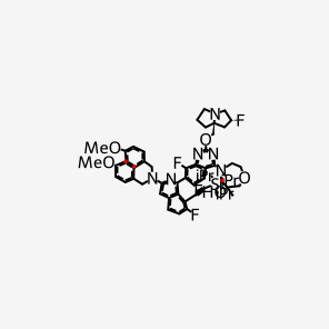 COc1ccc(CN(Cc2ccc(OC)cc2)c2cc3ccc(F)c(C#C[Si](C(C)C)(C(C)C)C(C)C)c3c(-c3c(F)cc4c(N5CCOCC(C)(O)C5)nc(OC[C@@]56CCCN5C[C@H](F)C6)nc4c3F)n2)cc1